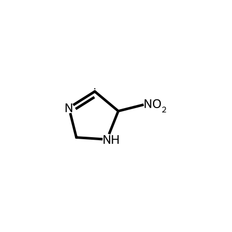 O=[N+]([O-])C1[C]=NCN1